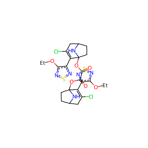 CCOc1nsnc1C1=C(Cl)CC2CCC1(OC(=O)C(=O)OC13CCC(CC(Cl)=C1c1nsnc1OCC)N3)N2